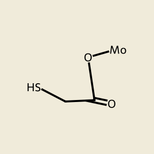 O=C(CS)[O][Mo]